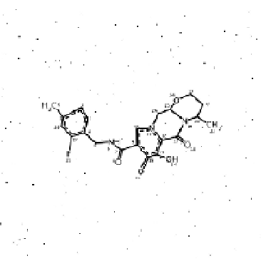 Cc1ccc(CNC(=O)c2cn3c(c(O)c2=O)C(=O)N2C(C)CCOC2C3)c(F)c1